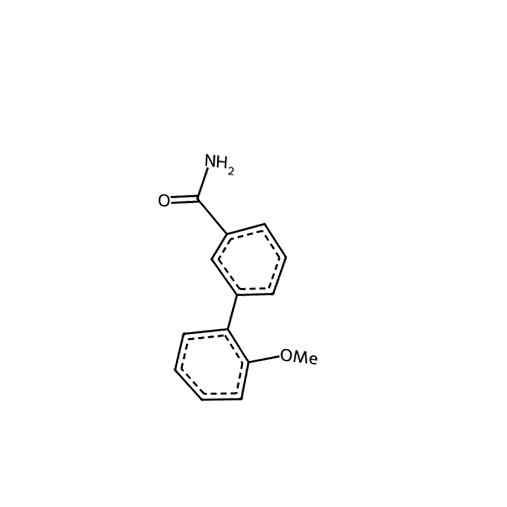 COc1ccccc1-c1cccc(C(N)=O)c1